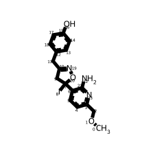 COCc1ccc(C2(I)CC(Cc3ccc(O)cc3)=NO2)c(N)n1